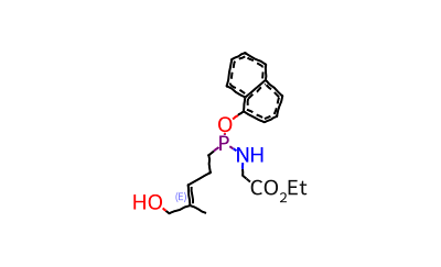 CCOC(=O)CNP(CC/C=C(\C)CO)Oc1cccc2ccccc12